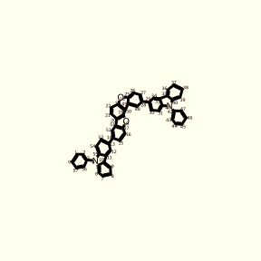 c1ccc(-n2c3ccccc3c3cc(-c4ccc5oc6c(ccc7oc8ccc(-c9ccc%10c(c9)c9ccccc9n%10-c9ccccc9)cc8c76)c5c4)ccc32)cc1